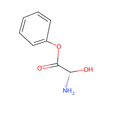 N[C@@H](O)C(=O)Oc1ccccc1